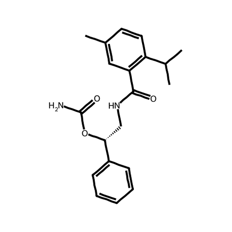 Cc1ccc(C(C)C)c(C(=O)NC[C@@H](OC(N)=O)c2ccccc2)c1